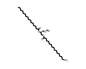 CCCCCCCCCCCCCCCC(=O)O[C@@H](COP=O)COC(=O)CCCCCCCCCCCCCCN